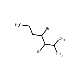 CCCC(Br)C(Br)C(C)C